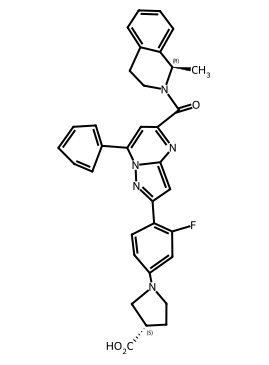 C[C@@H]1c2ccccc2CCN1C(=O)c1cc(-c2ccccc2)n2nc(-c3ccc(N4CC[C@H](C(=O)O)C4)cc3F)cc2n1